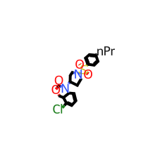 CCCc1ccc(S(=O)(=O)N2CCC(N3C(=O)OCC4C(Cl)=CC=CC43)CC2)cc1